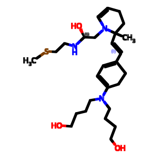 CSCCN[C@@H](O)CN1C=CCCC1(C)/C=C/C1=CC=C(N(CCCCO)CCCCO)CC1